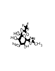 Cc1nnc(C2O[C@](O)(OC(=O)C(F)(F)F)[C@H](O)[C@@H](O)[C@@H]2O)o1